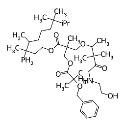 CC(C)C(C)(C)CCCC(C)C(C)(P)CCOC(=O)C(C)(COC(=O)C(C)(C)OCc1ccccc1)COC(C)C(C)(C)C(=O)CNCCO